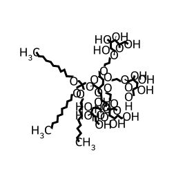 CCCCCCCCCCCOCC(COCCCCCCCCCCC)(COCCCCCCCCCCC)CO[C@@H]1OC(COCCCO[C@@H]2OC(CO)[C@@H](O)C(O)C2O)[C@H](OCCCO[C@@H]2OC(CO)[C@@H](O)C(O)C2O)C(OCCCO[C@@H]2OC(CO)[C@H](O)C(O)C2O)C1OCCCO[C@@H]1OC(CO)[C@@H](O)C(O)C1O